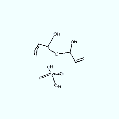 C=CC(O)OC(O)C=C.O=S(=O)(O)O